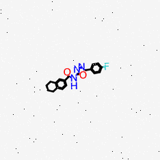 O=C(Nc1nnc(-c2ccc(F)cc2)o1)c1ccc2c(c1)CCCC2